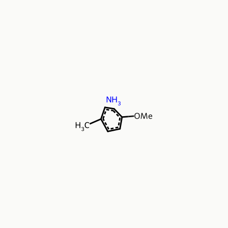 COc1ccc(C)cc1.N